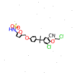 CC(C)(c1ccc(OCc2ccc(NS(C)(=O)=O)o2)cc1)c1cc(Cl)c(OCCCl)c(C#N)c1